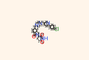 O=C1CCC(N2Cc3cc(CN4CCN(Cc5ccc(-c6ccc(Cl)cc6)nc5)CC4)ccc3C2=O)C(=O)N1